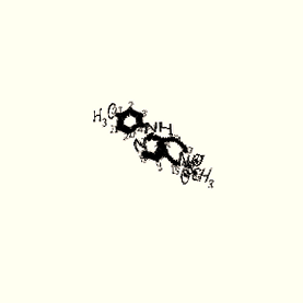 Cc1c[c]c(Nc2nccc3c2CCN(S(C)(=O)=O)C3)cc1